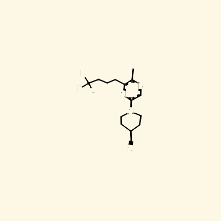 Cc1ncc(N2CCC(C#N)CC2)nc1CCCC(F)(F)F